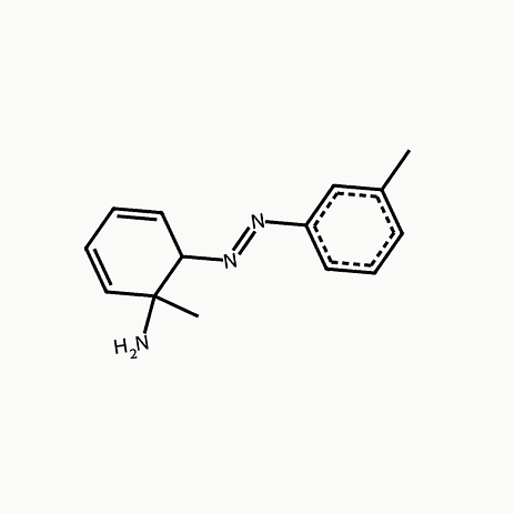 Cc1cccc(/N=N/C2C=CC=CC2(C)N)c1